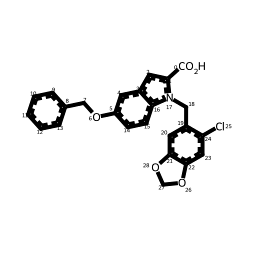 O=C(O)c1cc2cc(OCc3ccccc3)ccc2n1Cc1cc2c(cc1Cl)OCO2